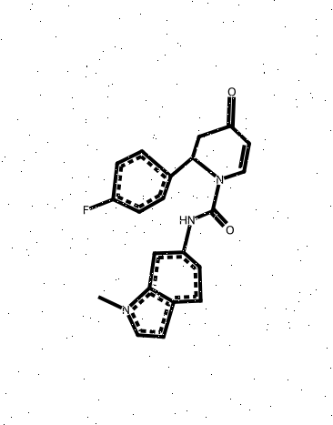 Cn1ccc2ccc(NC(=O)N3C=CC(=O)CC3c3ccc(F)cc3)cc21